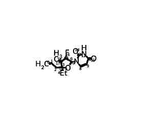 C=CC[C@]1(CC)O[C@@H](n2ccc(=O)[nH]c2=O)[C@H](F)[C@@H]1C